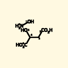 NO.O=C(O)CC(O)C(=O)O